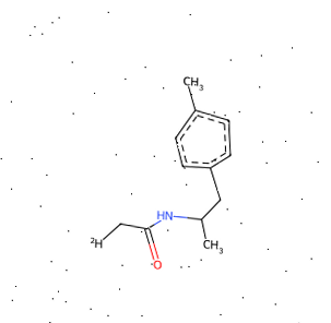 [2H]CC(=O)NC(C)Cc1ccc(C)cc1